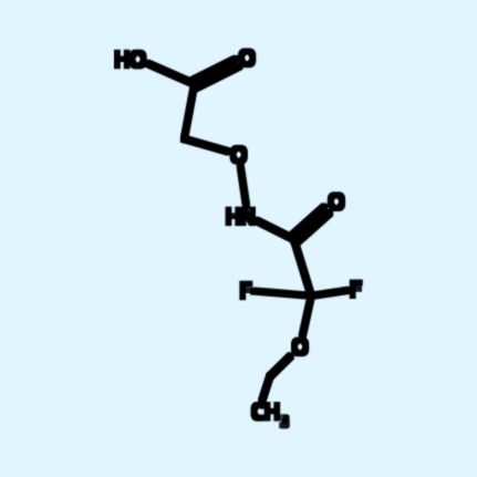 CCOC(F)(F)C(=O)NOCC(=O)O